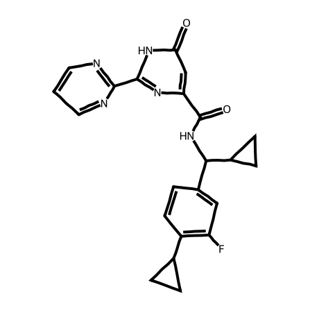 O=C(NC(c1ccc(C2CC2)c(F)c1)C1CC1)c1cc(=O)[nH]c(-c2ncccn2)n1